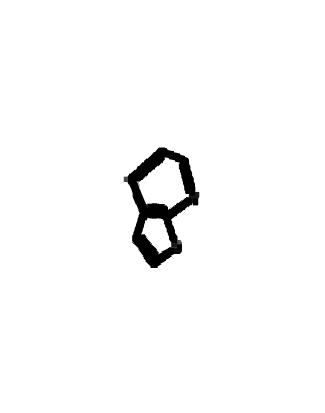 [c]1ccnc2occc12